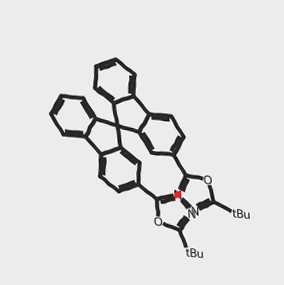 CC(C)(C)c1nnc(-c2ccc3c(c2)C2(c4ccccc4-3)c3ccccc3-c3ccc(-c4nnc(C(C)(C)C)o4)cc32)o1